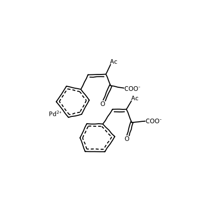 CC(=O)C(=Cc1ccccc1)C(=O)C(=O)[O-].CC(=O)C(=Cc1ccccc1)C(=O)C(=O)[O-].[Pd+2]